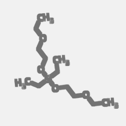 CCOCCO[Si](CC)(CC)OCCOCC